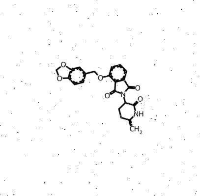 C=C1CCC(N2C(=O)c3cccc(OCc4ccc5c(c4)OCO5)c3C2=O)C(=O)N1